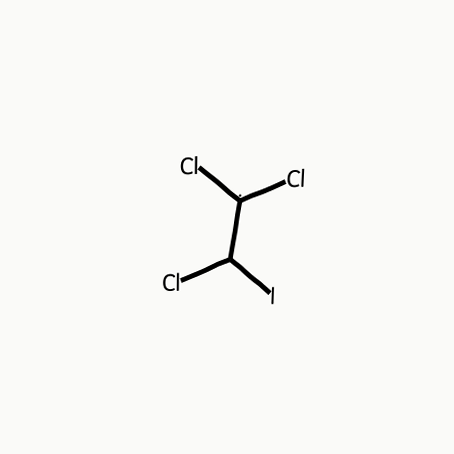 Cl[C](Cl)C(Cl)I